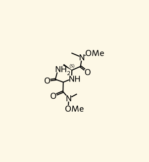 CON(C)C(=O)C(N[C@@H](C)C(=O)N(C)OC)C(N)=O